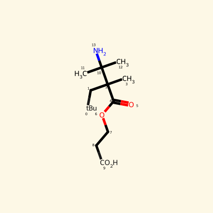 CC(C)(C)CC(C)(C(=O)OCCC(=O)O)C(C)(C)N